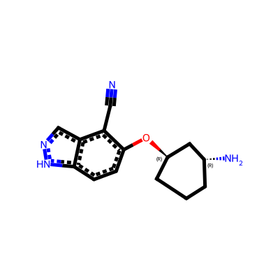 N#Cc1c(O[C@@H]2CCC[C@@H](N)C2)ccc2[nH]ncc12